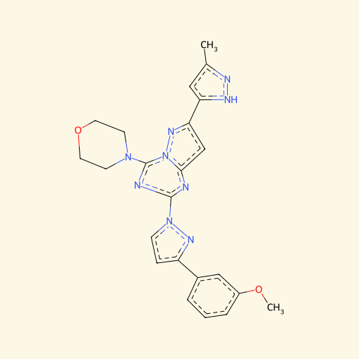 COc1cccc(-c2ccn(-c3nc(N4CCOCC4)n4nc(-c5cc(C)n[nH]5)cc4n3)n2)c1